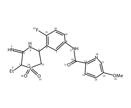 CCC1C(=N)NC(c2cc(NC(=O)c3ccc(OC)cn3)ccc2F)CS1(=O)=O